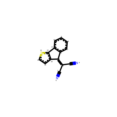 N#CC(C#N)=C1c2ccccc2-c2sccc21